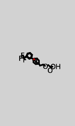 O=C(O)COCCC12CCC(c3cccc(C(F)(F)F)c3)(CC1)OC2